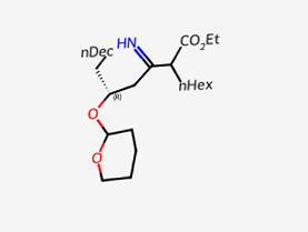 CCCCCCCCCCC[C@H](CC(=N)C(CCCCCC)C(=O)OCC)OC1CCCCO1